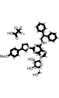 COc1ccc(C2CCN(c3nc(NCC(c4ccccc4)c4ccccc4)c4ncn([C@@H]5O[C@H](CO)[C@@H](O)[C@H]5O)c4n3)C2)cc1.O=C(O)C(F)(F)F